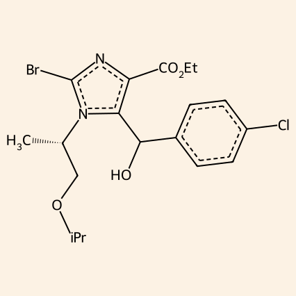 CCOC(=O)c1nc(Br)n([C@@H](C)COC(C)C)c1C(O)c1ccc(Cl)cc1